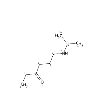 CCC(=O)CCCNC(C)C